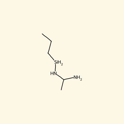 CCC[SiH2]NC(C)N